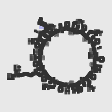 C/C=C/C[C@@H](C)[C@@H](O)[C@@H]1C(=O)N[C@H](CC)C(=O)N(C)[C@H](CSCCCN(CC)CC)C(=O)N(C)[C@@H](CC(C)C)C(=O)N[C@H](C(C)C)C(=O)N(C)[C@H](CC(C)C)C(=O)N[C@H](C)C(=O)N[C@@H](C)C(=O)N(C)[C@H](CC(C)C)C(=O)N(C)[C@H](CC(C)C)C(=O)N(C)[C@H](C(C)C)C(=O)N1C